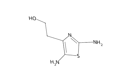 Nc1nc(CCO)c(N)s1